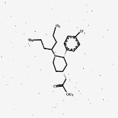 COC(=O)C[C@@H]1CCN(C(CCC(C)(C)C)CCC(C)(C)C)[C@H](c2ccc(C(F)(F)F)cc2)C1